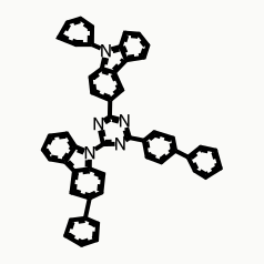 c1ccc(-c2ccc(-c3nc(-c4ccc5c(c4)c4ccccc4n5-c4ccccc4)nc(-n4c5ccccc5c5cc(-c6ccccc6)ccc54)n3)cc2)cc1